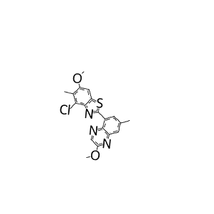 COc1cnc2c(-c3nc4c(Cl)c(C)c(OC)cc4s3)cc(C)cc2n1